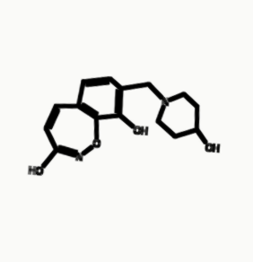 OC1=NOc2c(ccc(CN3CCC(O)CC3)c2O)C=C1